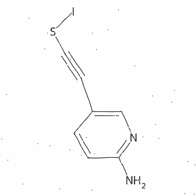 Nc1ccc(C#CSI)cn1